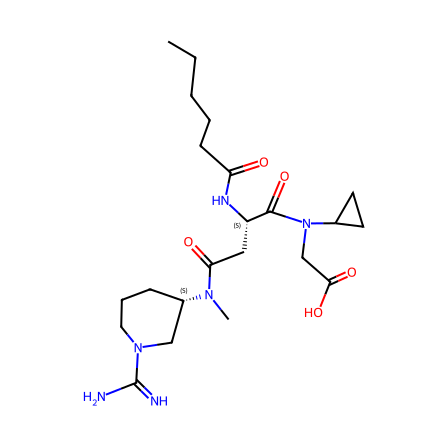 CCCCCC(=O)N[C@@H](CC(=O)N(C)[C@H]1CCCN(C(=N)N)C1)C(=O)N(CC(=O)O)C1CC1